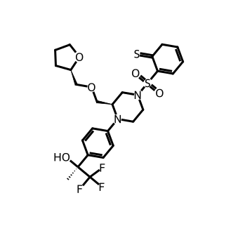 C[C@](O)(c1ccc(N2CCN(S(=O)(=O)C3=CC=CCC3=S)C[C@@H]2COC[C@H]2CCCO2)cc1)C(F)(F)F